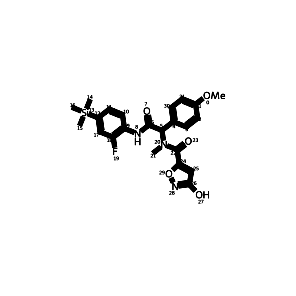 COc1ccc(C(C(=O)Nc2ccc([Si](C)(C)C)cc2F)N(C)C(=O)c2cc(O)no2)cc1